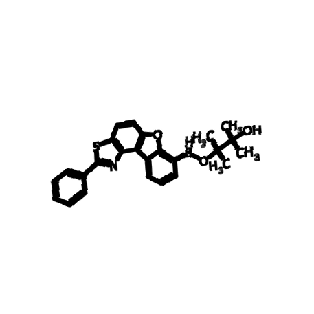 CC(C)(O)C(C)(C)OBc1cccc2c1oc1ccc3sc(-c4ccccc4)nc3c12